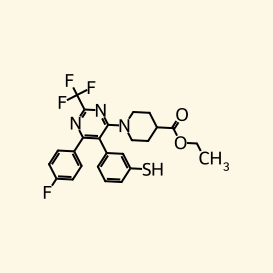 CCOC(=O)C1CCN(c2nc(C(F)(F)F)nc(-c3ccc(F)cc3)c2-c2cccc(S)c2)CC1